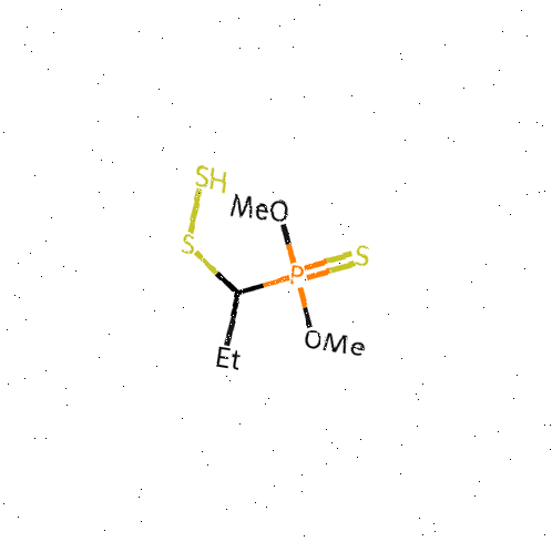 CCC(SS)P(=S)(OC)OC